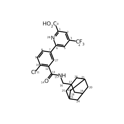 O=C(O)c1cc(C(F)(F)F)cc(-c2ccc(Cl)c(C(=O)NCC34CC5CC(CC(C5)C3)C4)c2)n1